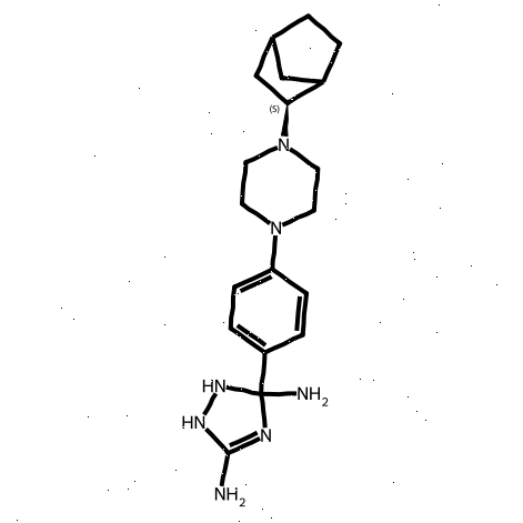 NC1=NC(N)(c2ccc(N3CCN([C@H]4CC5CCC4C5)CC3)cc2)NN1